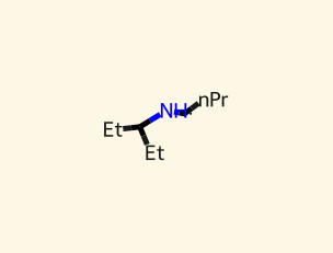 CCC[CH]NC(CC)CC